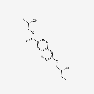 CCC(O)COC(=O)c1ccc2cc(OCC(O)CC)ccc2c1